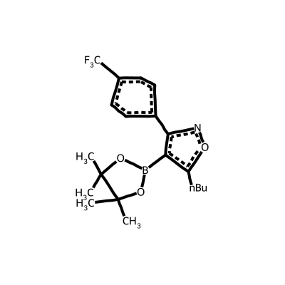 CCCCc1onc(-c2ccc(C(F)(F)F)cc2)c1B1OC(C)(C)C(C)(C)O1